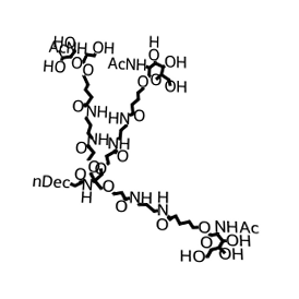 CCCCCCCCCCCC(=O)NC(COCCC(=O)NCCCNC(=O)CCCCOC1OC(CO)C(O)C(O)C1NC(C)=O)(COCCC(=O)NCCCNC(=O)CCCCOC1OC(CO)C(O)C(O)C1NC(C)=O)COCCC(=O)NCCCNC(=O)CCCCOC(OC(CO)[C@H](C)O)[C@H](CO)NC(C)=O